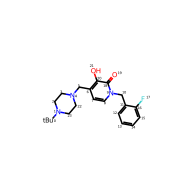 CC(C)(C)N1CCN(Cc2ccn(Cc3ccccc3F)c(=O)c2O)CC1